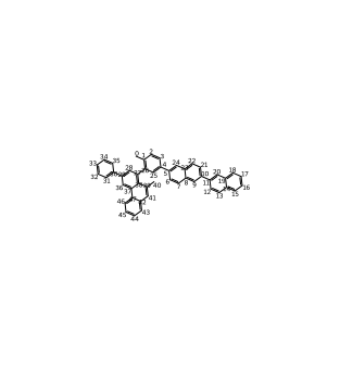 Cc1ccc(-c2ccc3cc(-c4ccc5ccccc5c4)ccc3c2)cc1-c1cc(-c2ccccc2)cc2c1c(C)cc1ccccc12